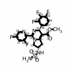 COC(=O)C1=C2C[C@H](NS(N)(=O)=O)CN2C(c2ncc(F)cc2F)=N[C@H]1c1ccc(F)c(F)c1F